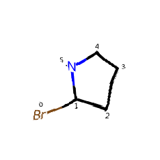 BrC1CCC[N]1